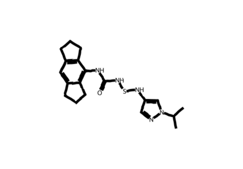 CC(C)n1cc(NSNC(=O)Nc2c3c(cc4c2CCC4)CCC3)cn1